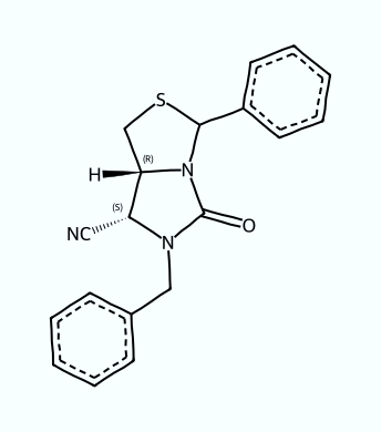 N#C[C@@H]1[C@@H]2CSC(c3ccccc3)N2C(=O)N1Cc1ccccc1